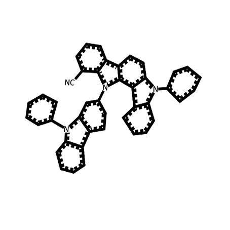 N#Cc1cccc2c3ccc4c(c5ccccc5n4-c4ccccc4)c3n(-c3ccc4c5ccccc5n(-c5ccccc5)c4c3)c12